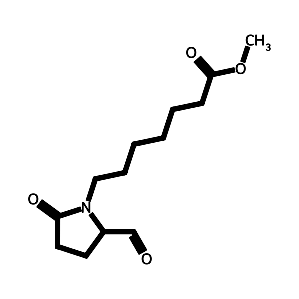 COC(=O)CCCCCCN1C(=O)CCC1C=O